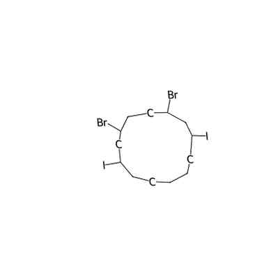 BrC1CCC(Br)CC(I)CCCCCC(I)C1